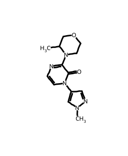 CC1COCCN1c1nccn(-c2cnn(C)c2)c1=O